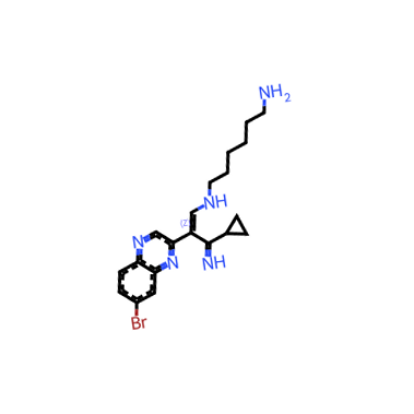 N=C(/C(=C\NCCCCCCN)c1cnc2ccc(Br)cc2n1)C1CC1